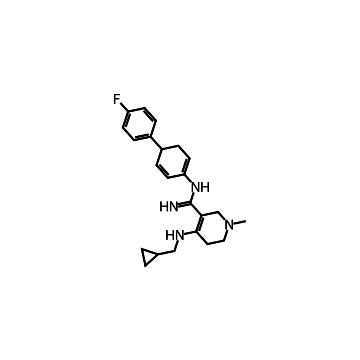 CN1CCC(NCC2CC2)=C(C(=N)NC2=CCC(c3ccc(F)cc3)C=C2)C1